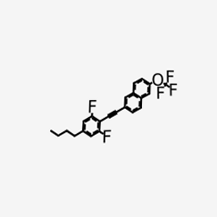 CCCCc1cc(F)c(C#Cc2ccc3cc(OC(F)(F)F)ccc3c2)c(F)c1